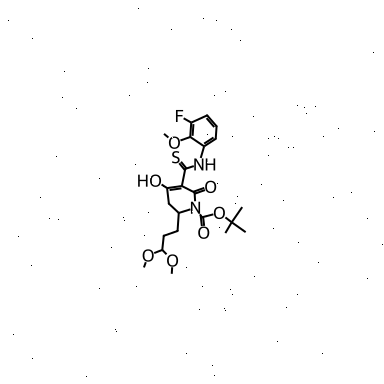 COc1c(F)cccc1NC(=S)C1=C(O)CC(CCC(OC)OC)N(C(=O)OC(C)(C)C)C1=O